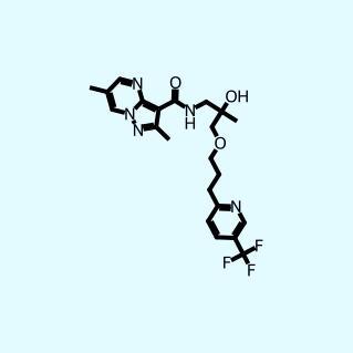 Cc1cnc2c(C(=O)NCC(C)(O)COCCCc3ccc(C(F)(F)F)cn3)c(C)nn2c1